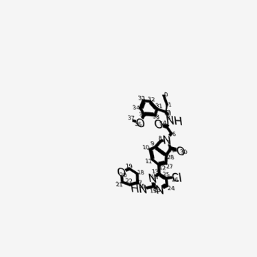 CC[C@@H](NC(=O)CN1Cc2ccc(-c3nc(NC4CCOCC4)ncc3Cl)cc2C1=O)c1cccc(OC)c1